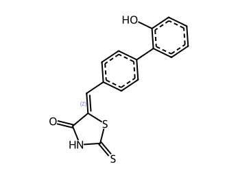 O=C1NC(=S)S/C1=C\c1ccc(-c2ccccc2O)cc1